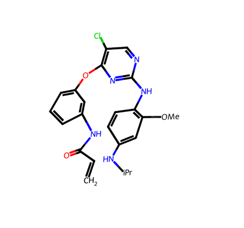 C=CC(=O)Nc1cccc(Oc2nc(Nc3ccc(NC(C)C)cc3OC)ncc2Cl)c1